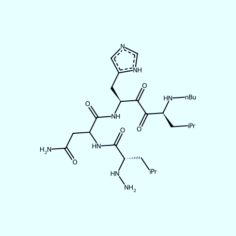 CCCCN[C@@H](CC(C)C)C(=O)C(=O)[C@H](Cc1cnc[nH]1)NC(=O)C(CC(N)=O)NC(=O)[C@H](CC(C)C)NN